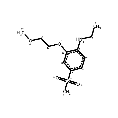 CCNc1ccc(S(C)(=O)=O)cc1OCCOC